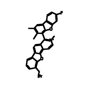 Cc1cc2c(oc3cc(F)ccc32)c(-c2c3ccc4c5cccc(CC(C)C)c5oc4c3cc[n+]2C)c1C